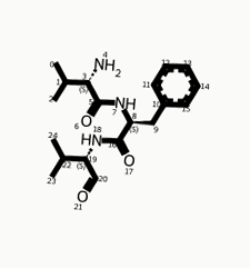 CC(C)[C@H](N)C(=O)N[C@@H](Cc1ccccc1)C(=O)N[C@H]([C]=O)C(C)C